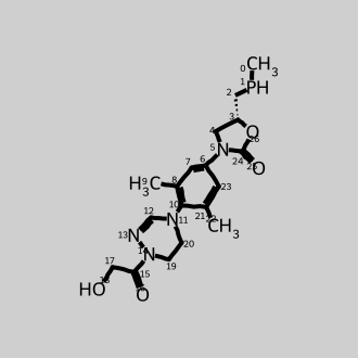 CPC[C@H]1CN(c2cc(C)c(N3C=NN(C(=O)CO)CC3)c(C)c2)C(=O)O1